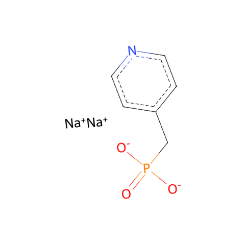 O=P([O-])([O-])Cc1ccncc1.[Na+].[Na+]